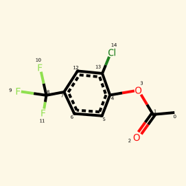 CC(=O)Oc1ccc(C(F)(F)F)cc1Cl